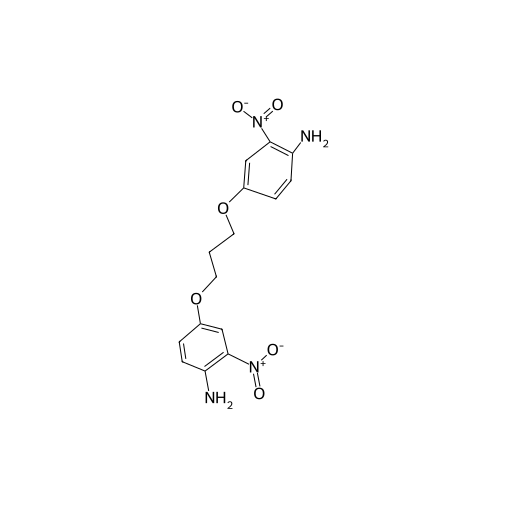 Nc1ccc(OCCCOc2ccc(N)c([N+](=O)[O-])c2)cc1[N+](=O)[O-]